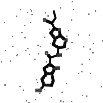 CCC(=O)c1cc2cc(NC(=O)c3cc4cc(O)ccc4[nH]3)cnc2o1